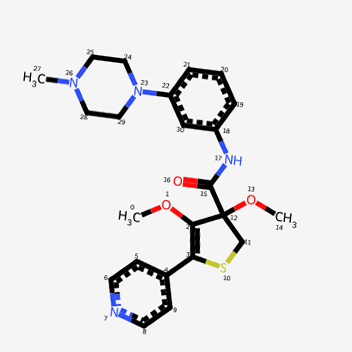 COC1=C(c2ccncc2)SCC1(OC)C(=O)Nc1cccc(N2CCN(C)CC2)c1